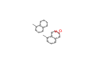 Cc1cccc2ccccc12.Cc1cccc2ccccc12.O